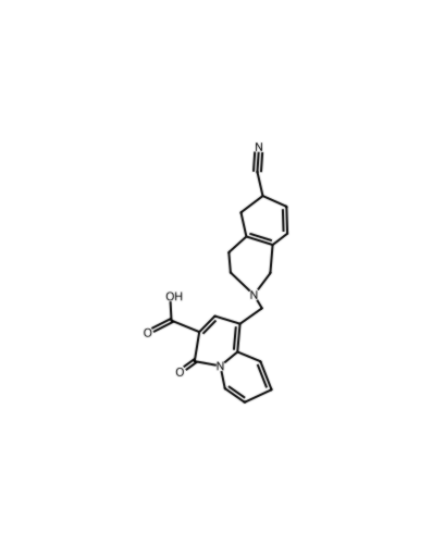 N#CC1C=CC2=C(CCN(Cc3cc(C(=O)O)c(=O)n4ccccc34)C2)C1